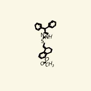 CC(=O)Oc1cccc2c1CCCC2=CCSc1nc(C(c2ccccc2)c2ccccc2)c[nH]1